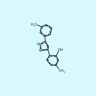 Cc1cccc(-c2cc(-c3ccc(C)cc3O)n[nH]2)c1